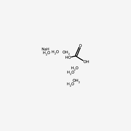 O.O.O.O.O.O.O.O=C(O)O.[NaH]